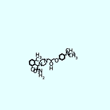 Cc1cccc(C)c1C(C(N)=O)N1CCN(CC(O)COc2ccc(N(C)C)cc2)CC1